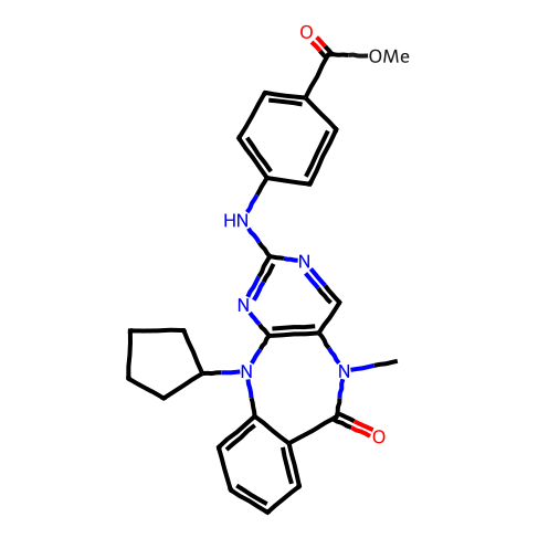 COC(=O)c1ccc(Nc2ncc3c(n2)N(C2CCCC2)c2ccccc2C(=O)N3C)cc1